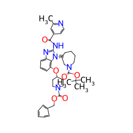 Cc1cc(C(=O)Nc2nc3cccc(OC4CCN(C(=O)OCc5ccccc5)CC4)c3n2[C@@H]2CCCCN(C(=O)OC(C)(C)C)C2)ccn1